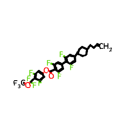 C=CCCC1CCC(c2cc(F)c(-c3cc(F)c(C(=O)Oc4cc(F)c(C(F)(F)OC(F)(F)F)c(F)c4)c(F)c3)c(F)c2)CC1